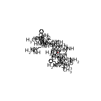 CC[C@H](C)[C@H](NC(=O)[C@H](CCCNC(=N)N)NC(=O)[C@H](CCC(N)=O)NC(=O)[C@H](CC(C)C)NC(=O)[C@@H](N)Cc1ccccc1)C(=O)N[C@H](C(=O)NCC(=O)N[C@@H](C)C(=O)N[C@@H](CC(C)C)C(=O)NCC(=O)N[C@@H](CCCNC(=N)N)C(=O)N[C@@H](CC(C)C)C(=O)N[C@@H](Cc1ccccc1)C(N)=O)[C@@H](C)CC